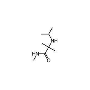 CNC(=O)C(C)(C)NC(C)C